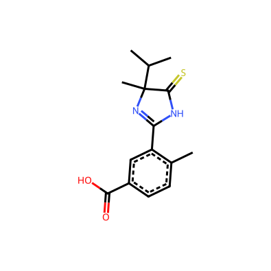 Cc1ccc(C(=O)O)cc1C1=NC(C)(C(C)C)C(=S)N1